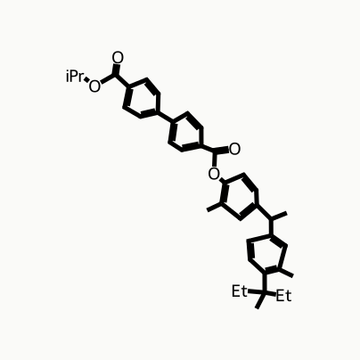 CCC(C)(CC)c1ccc(C(C)c2ccc(OC(=O)c3ccc(-c4ccc(C(=O)OC(C)C)cc4)cc3)c(C)c2)cc1C